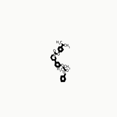 CC(C)c1ccc(OC(=O)N2CCCC(c3cccc(OC(C)(C)C(=O)OCc4ccccc4)c3)C2)cc1